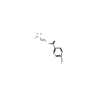 CCCC[N+](CC)(CCC)CCOC(=O)c1ccc(COC(C)=O)cc1